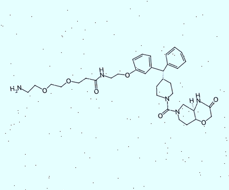 NCCOCCOCCC(=O)NCCOc1cccc([C@H](c2ccccc2)C2CCN(C(=O)N3CCC4OCC(=O)N[C@@H]4C3)CC2)c1